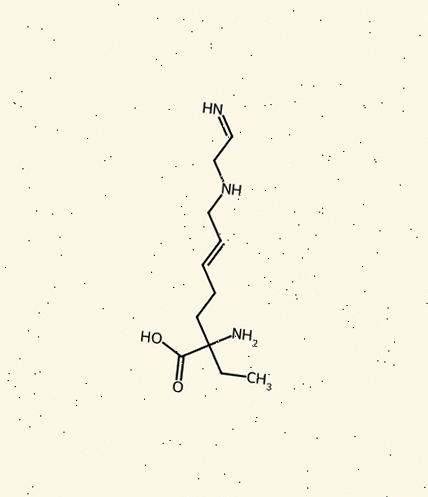 CCC(N)(CCC=CCNCC=N)C(=O)O